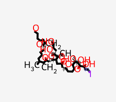 C=C1C(C)CC(CC[C@@H]2OC(CCC=O)CC2=C)OC1C[C@@H]1O[C@H](CC(O)CO)[C@H](OC)C1CC(=O)C[C@H]1CCC2OC(C(O)/C=C/I)[C@@H](O)[C@@H](O)C2O1